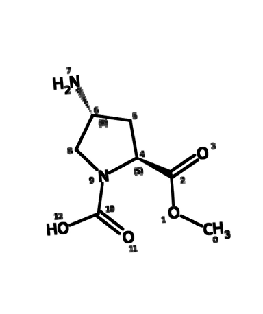 COC(=O)[C@@H]1C[C@@H](N)CN1C(=O)O